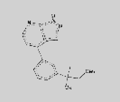 COCC(C)(C#N)c1cccc(-c2ccnc3[nH]ncc23)c1